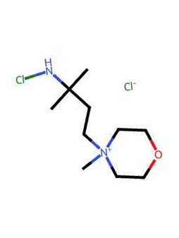 CC(C)(CC[N+]1(C)CCOCC1)NCl.[Cl-]